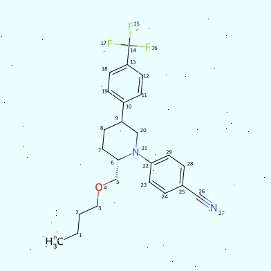 CCCCOC[C@@H]1CCC(c2ccc(C(F)(F)F)cc2)CN1c1ccc(C#N)cc1